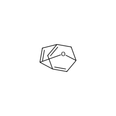 C1=C2C=C3OC(C=C13)C2